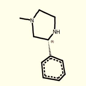 CN1CCN[C@H](c2ccccc2)C1